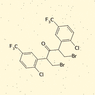 O=C(C(CBr)c1cc(C(F)(F)F)ccc1Cl)C(CBr)c1cc(C(F)(F)F)ccc1Cl